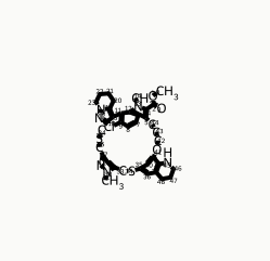 COC(=O)c1c2c3ccc(Cl)c(c3n1C)-c1c(nn3c1CCCC3)CSCc1cc(n(C)n1)CSc1cc3c(c(c1)OCCC2)NCCC3